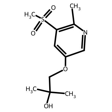 Cc1ncc(OCC(C)(C)O)cc1S(C)(=O)=O